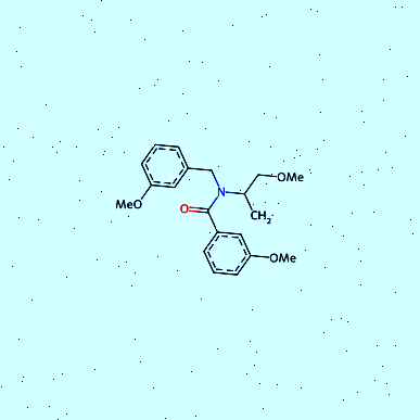 [CH2]C(COC)N(Cc1cccc(OC)c1)C(=O)c1cccc(OC)c1